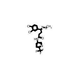 CO/N=C(\CCC(=O)Nc1ccc(C(F)(F)F)nc1)c1ccc(Cl)c(Cl)c1